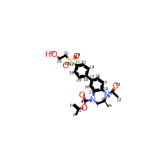 C=C(C)OC(=O)N1C[C@H](C)N(C(C)=O)c2ccc(-c3ccc(S(=O)(=O)CCO)cc3)cc21